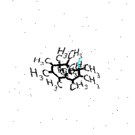 CC(C(C)C(C)C(C)C(C)(C)C(C)C)C(C)C(C)C(C)(C)F